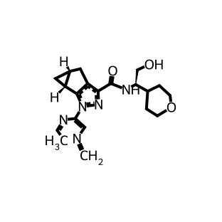 C=N/C=C(\N=C/C)n1nc(C(=O)N[C@@H](CO)C2CCOCC2)c2c1[C@@H]1C[C@@H]1C2